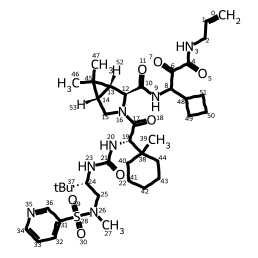 C=CCNC(=O)C(=O)C(NC(=O)[C@@H]1[C@@H]2[C@H](CN1C(=O)[C@@H](NC(=O)N[C@H](CN(C)S(=O)(=O)c1cccnc1)C(C)(C)C)C1(C)CCCCC1)C2(C)C)C1CCC1